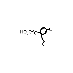 O=C(O)COc1ccc(Cl)cc1CCCl